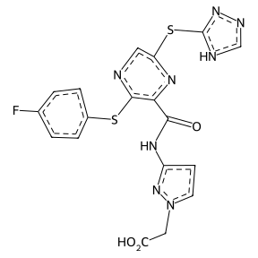 O=C(O)Cn1ccc(NC(=O)c2nc(Sc3nnc[nH]3)cnc2Sc2ccc(F)cc2)n1